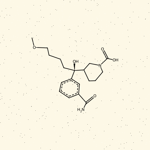 COCCCC[C@@](O)(c1cccc(C(N)=O)c1)C1CCCN(C(=O)O)C1